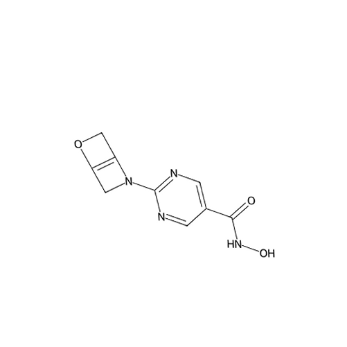 O=C(NO)c1cnc(N2CC3=C2CO3)nc1